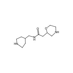 O=C(CC1CNCCO1)NCC1CCNCC1